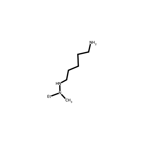 CCN(C)NCCCCCN